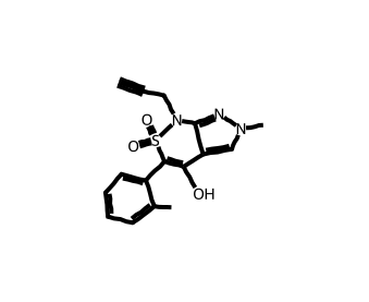 C#CCN1c2nn(C)cc2C(O)=C(c2ccccc2C)S1(=O)=O